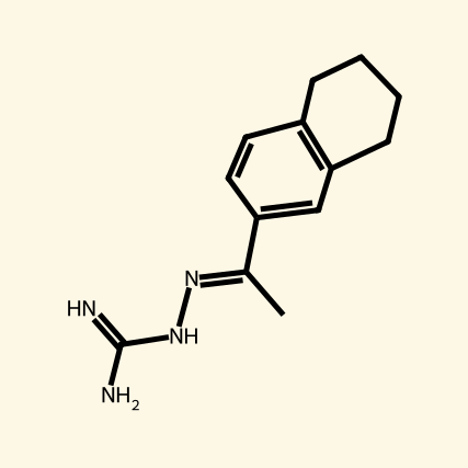 C/C(=N\NC(=N)N)c1ccc2c(c1)CCCC2